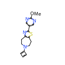 COc1ncc(-c2nc3c(s2)CCN(C2=CC=C2)CC3)cn1